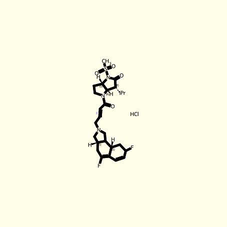 CC(C)[C@H]1C(=O)N(S(C)(=O)=O)[C@H]2CCN(C(=O)/C=C/CN3CC4[C@H](CC(F)=C5C=CC(F)C[C@H]54)C3)[C@H]12.Cl